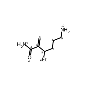 C=C(C(N)=O)C(CC)CCCN